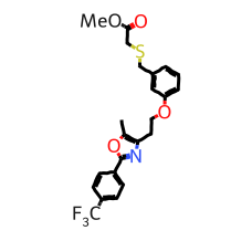 COC(=O)CSCc1cccc(OCCc2nc(-c3ccc(C(F)(F)F)cc3)oc2C)c1